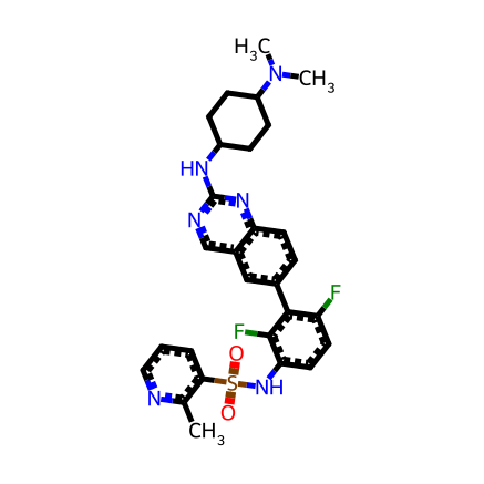 Cc1ncccc1S(=O)(=O)Nc1ccc(F)c(-c2ccc3nc(NC4CCC(N(C)C)CC4)ncc3c2)c1F